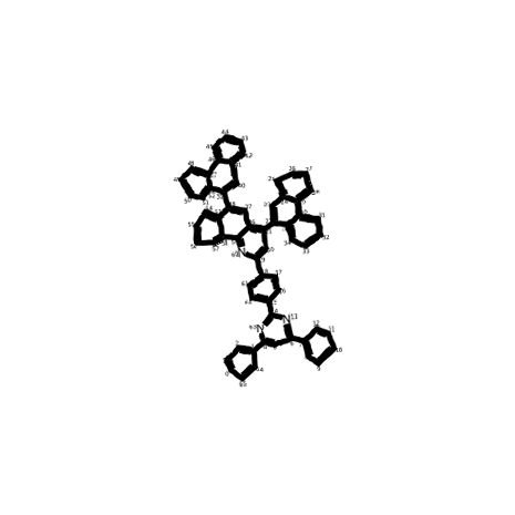 c1ccc(-c2cc(-c3ccccc3)nc(-c3ccc(-c4cc(-c5cc6ccccc6c6ccccc56)c5cc(-c6cc7ccccc7c7ccccc67)c6ccccc6c5n4)cc3)n2)cc1